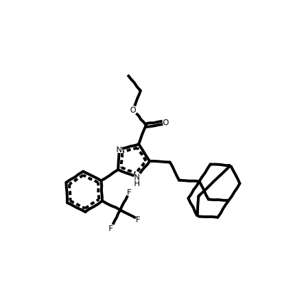 CCOC(=O)c1nc(-c2ccccc2C(F)(F)F)[nH]c1CCC12CC3CC(CC(C3)C1)C2